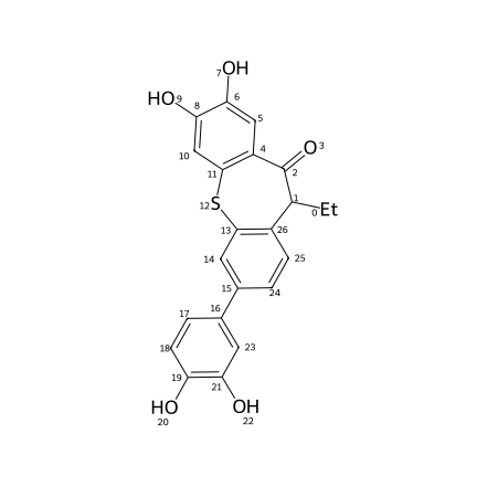 CCC1C(=O)c2cc(O)c(O)cc2Sc2cc(-c3ccc(O)c(O)c3)ccc21